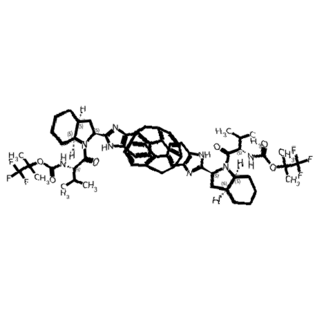 CC(C)[C@H](NC(=O)OC(C)(C)C(F)(F)F)C(=O)N1[C@H](c2nc3cc(-c4cc5ccc4CCc4ccc(c(-c6ccc7[nH]c([C@@H]8C[C@@H]9CCCC[C@@H]9N8C(=O)[C@@H](NC(=O)OC(C)(C)C(F)(F)F)C(C)C)nc7c6)c4)CC5)ccc3[nH]2)C[C@@H]2CCCC[C@@H]21